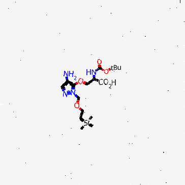 CC(C)(C)OC(=O)NC(COc1c(N)cnn1COCC[Si](C)(C)C)C(=O)O